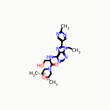 CCn1c(-c2cnc(C)nc2)nc2c(NC(CO)C(=O)N3C[C@@H](C)O[C@@H](C)C3)ncnc21